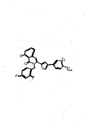 CCNc1ccc(-c2csc(-c3cc4cccc(Cl)c4c(=O)n3Cc3ccc(F)cc3F)c2)cc1Cl